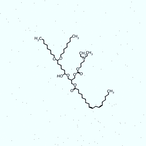 CCCCC/C=C\C/C=C\CCCCCCCC(=O)OCC(COC(=O)OCCCN(CC)CC)COC(O)CCCCC(OCCCCCCCC)OCCCCCCCC